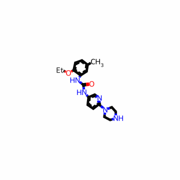 CCOc1ccc(C)cc1NC(=O)Nc1ccc(N2CCNCC2)nc1